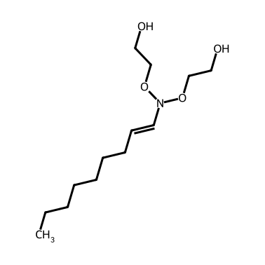 CCCCCCCC=CN(OCCO)OCCO